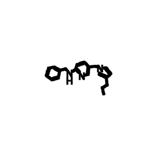 CCCc1ccn(Cc2ccc(NCc3ccccc3)nc2)c1